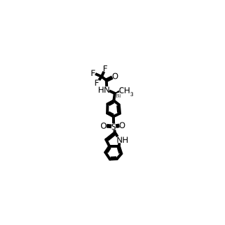 C[C@H](NC(=O)C(F)(F)F)c1ccc(S(=O)(=O)c2cc3ccccc3[nH]2)cc1